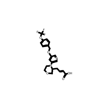 O=C(O)/C=C/CC1COCCN1c1cncc(OCc2ccc(OC(F)(F)F)cc2)c1